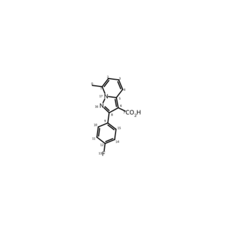 Cc1cccc2c(C(=O)O)c(-c3ccc(F)cc3)nn12